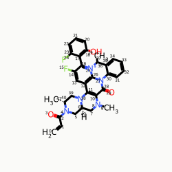 C=CC(=O)N1C[C@@H]2CN(C)c3c(c4cc(F)c(-c5c(O)cccc5F)[n+]5c4n(c3=O)-c3ccccc3C5C)N2C[C@H]1C